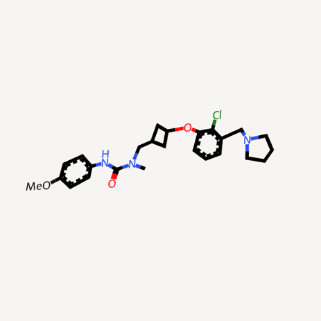 COc1ccc(NC(=O)N(C)CC2CC(Oc3cccc(CN4CCCC4)c3Cl)C2)cc1